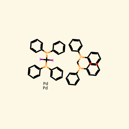 IC(I)(P(c1ccccc1)c1ccccc1)P(c1ccccc1)c1ccccc1.[Pd].[Pd].c1ccc(P(CP(c2ccccc2)c2ccccc2)c2ccccc2)cc1